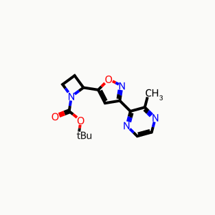 Cc1nccnc1-c1cc(C2CCN2C(=O)OC(C)(C)C)on1